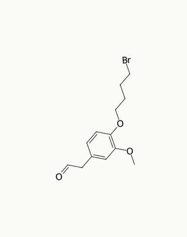 COc1cc(CC=O)ccc1OCCCCBr